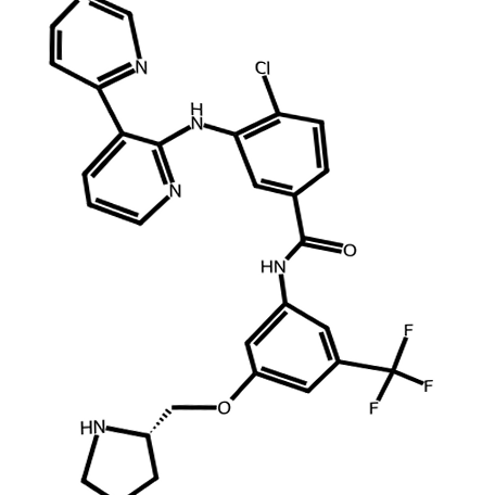 O=C(Nc1cc(OC[C@@H]2CCCN2)cc(C(F)(F)F)c1)c1ccc(Cl)c(Nc2ncccc2-c2ccncn2)c1